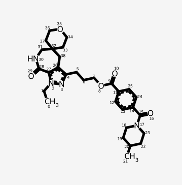 CCn1nc(CCCOC(=O)c2ccc(C(=O)N3CCC(C)CC3)cc2)c2c1C(=O)NCC1(CCOCC1)C2